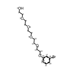 OCCOCCOCCOCCOCCOc1cc(Br)ccn1